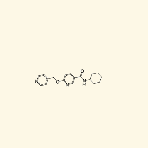 O=C(NC1CCCCC1)c1ccc(OCc2ccncc2)nc1